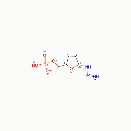 N=CN[C@H]1CCC(COP(=O)(O)O)O1